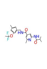 Cc1cc(CNC(=O)c2cc(C)nc(NC(=O)C(C)C)c2)cc(OC(C)(F)F)c1